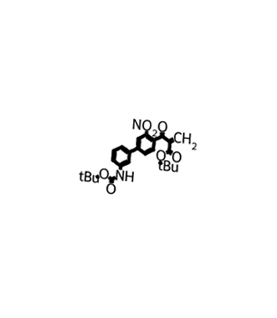 C=C(C(=O)OC(C)(C)C)C(=O)c1ccc(-c2cccc(NC(=O)OC(C)(C)C)c2)cc1[N+](=O)[O-]